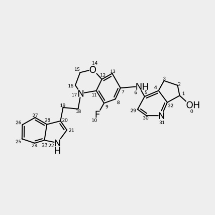 OC1CCc2c(Nc3cc(F)c4c(c3)OCCN4CCc3c[nH]c4ccccc34)ccnc21